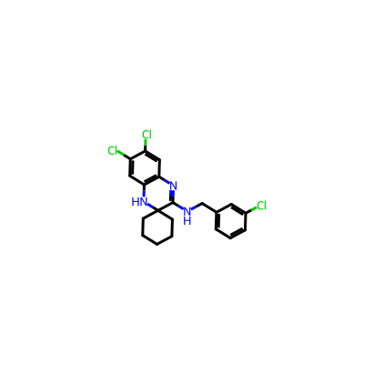 Clc1cccc(CNC2=Nc3cc(Cl)c(Cl)cc3NC23CCCCC3)c1